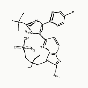 CC(C)(Cn1c(N)nc2ccc(-c3[nH]c(C(C)(C)C)nc3-c3ccc(F)cc3)nc21)CS(=O)(=O)O